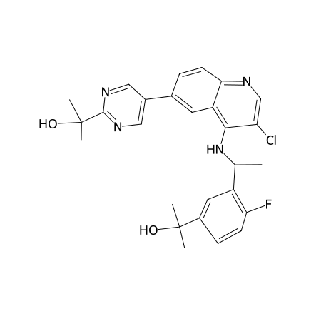 CC(Nc1c(Cl)cnc2ccc(-c3cnc(C(C)(C)O)nc3)cc12)c1cc(C(C)(C)O)ccc1F